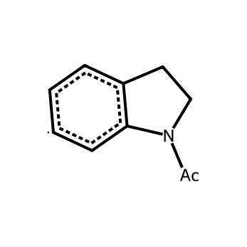 CC(=O)N1CCc2cc[c]cc21